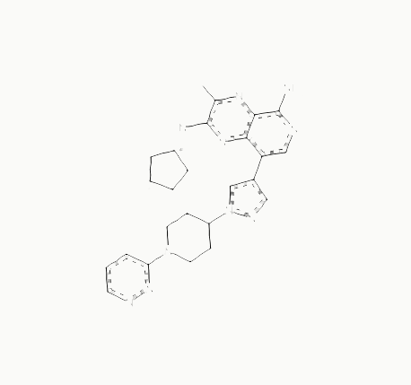 CCc1nc2c(N)ncc(-c3cnn(C4CCN(c5cccnn5)CC4)c3)c2nc1N[C@@H]1CC[C@H](O)C1